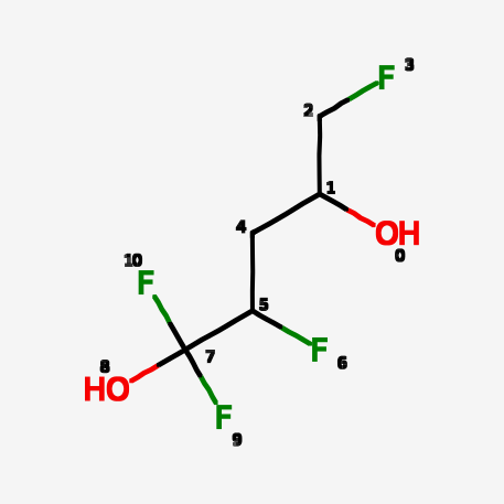 OC(CF)CC(F)C(O)(F)F